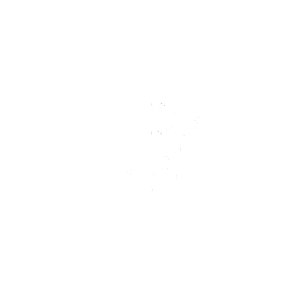 C=CCOc1cc(Nc2ccccc2N)c(F)c(F)c1I